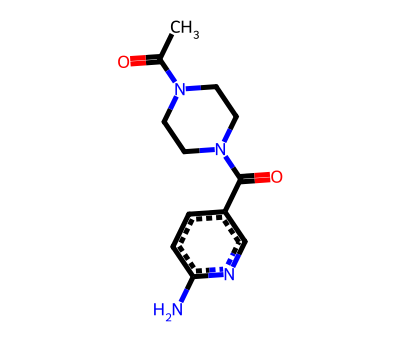 CC(=O)N1CCN(C(=O)c2ccc(N)nc2)CC1